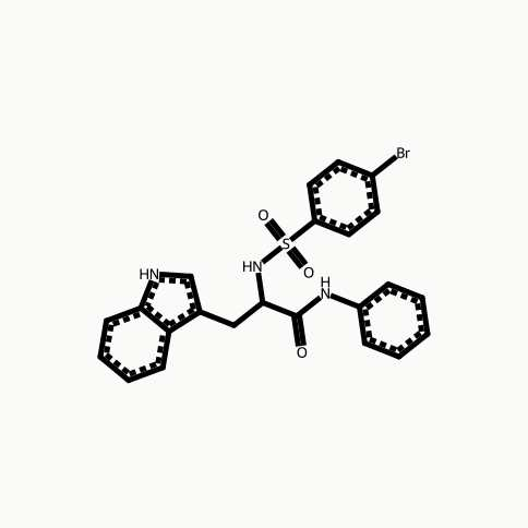 O=C(Nc1ccccc1)C(Cc1c[nH]c2ccccc12)NS(=O)(=O)c1ccc(Br)cc1